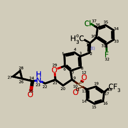 C/C(=C\c1ccc2c(c1)C(S(=O)(=O)c1cccc(C(F)(F)F)c1)CC(CNC(=O)C1CC1)O2)c1c(F)cccc1Cl